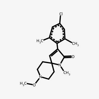 CON1CCC2(C=C(c3c(C)cc(Cl)cc3C)C(=O)N2C)CC1